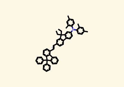 CCC1(CC)c2cc(/C=C/c3cccc4c3-c3ccccc3C4(c3ccccc3)c3ccccc3)ccc2-c2ccc(N(c3ccc(C)cc3C)c3ccc(C)cc3C)cc21